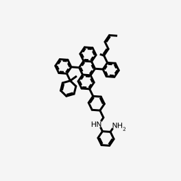 C/C=C\C=C(/C)c1ccccc1-c1c2ccccc2c(-c2ccccc2C2(C)C=CC=CC2)c2ccc(C3=CCC(CNC4C=CC=CC4N)C=C3)cc12